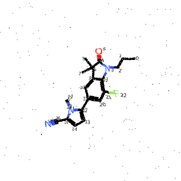 CCCN1C(=O)C(C)(C)c2cc(-c3ccc(C#N)n3C)cc(F)c21